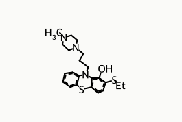 CCSc1ccc2c(c1O)N(CCCN1CCN(C)CC1)c1ccccc1S2